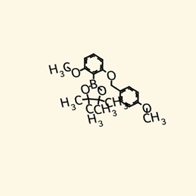 COc1ccc(COc2cccc(OC)c2B2OC(C)(C)C(C)(C)O2)cc1